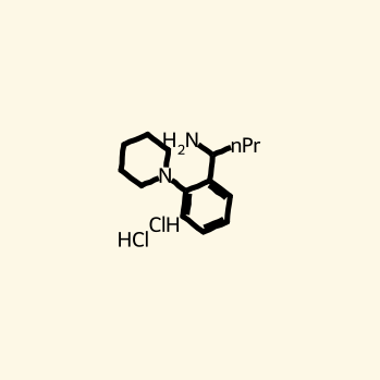 CCCC(N)c1ccccc1N1CCCCC1.Cl.Cl